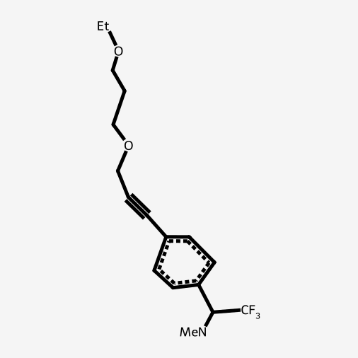 CCOCCCOCC#Cc1ccc(C(NC)C(F)(F)F)cc1